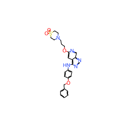 O=S1(=O)CCN(CCCOc2cc3c(Nc4ccc(OCc5ccccc5)cc4)ncnc3cn2)CC1